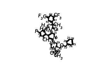 Cc1cc(F)ccc1-c1cc(N2CCN(S(C)(=O)=O)[C@H](COCc3ccccc3)C2)ncc1N(C)C(=O)C(C)(C)c1cc(C(F)(F)F)cc(C(F)(F)F)c1